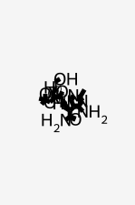 Cc1nc(N)c2c(C(N)=O)cn([C@@H]3O[C@H](CO)[C@H]4OC(C)(C)O[C@H]43)c2n1